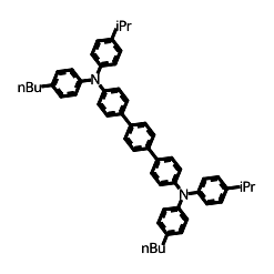 CCCCc1ccc(N(c2ccc(-c3ccc(-c4ccc(N(c5ccc(CCCC)cc5)c5ccc(C(C)C)cc5)cc4)cc3)cc2)c2ccc(C(C)C)cc2)cc1